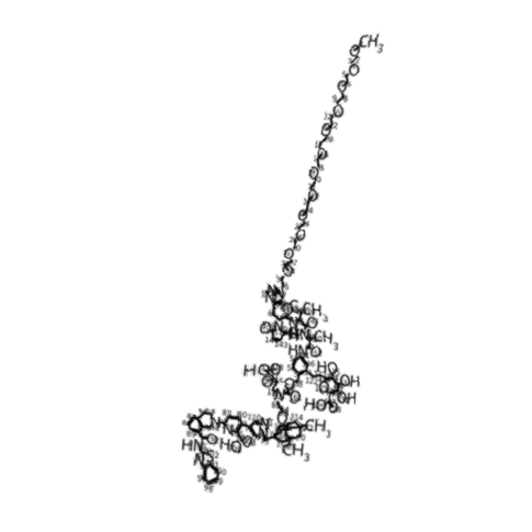 COCCOCCOCCOCCOCCOCCOCCOCCOCCOCCOCCOCCn1cc(CC(C(=O)N[C@H](C(=O)N[C@@H](C)C(=O)Nc2ccc(COC(=O)N(CCOC34CC5(C)CC(C)(CC(Cn6cc(-c7ccc(N8CCc9cccc(C(=O)Nc%10nc%11ccccc%11s%10)c9C8)nc7C(=O)O)cn6)(C5)C3)C4)CCS(=O)(=O)O)c(CC[C@@H]3O[C@H](C(=O)O)[C@@H](O)[C@H](O)[C@H]3O)c2)C(C)C)N2C(=O)C=CC2=O)nn1